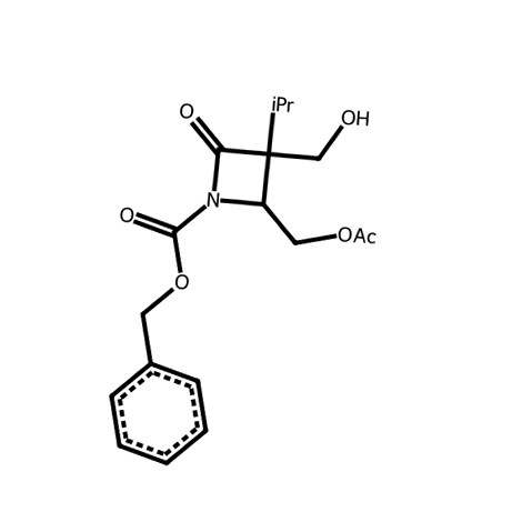 CC(=O)OCC1N(C(=O)OCc2ccccc2)C(=O)C1(CO)C(C)C